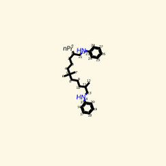 CCCC(CCCC(C)(C)CCCC(C)CNc1ccccc1)CNc1ccccc1